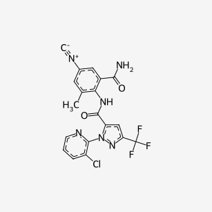 [C-]#[N+]c1cc(C)c(NC(=O)c2cc(C(F)(F)F)nn2-c2ncccc2Cl)c(C(N)=O)c1